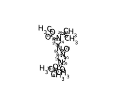 COC(=O)[C@H]1C[C@H](N2CC3CN(C(=O)OC(C)(C)C)CCN3C2=O)CN1CC(C)C